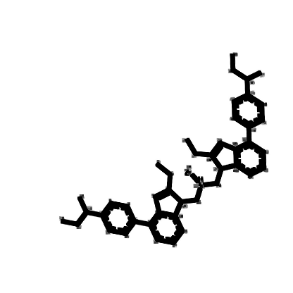 CCC1=Cc2c(-c3ccc(C(C)CC)cc3)cccc2C1C[SiH]([Zr])CC1C(CC)=Cc2c(-c3ccc(C(C)CC)cc3)cccc21